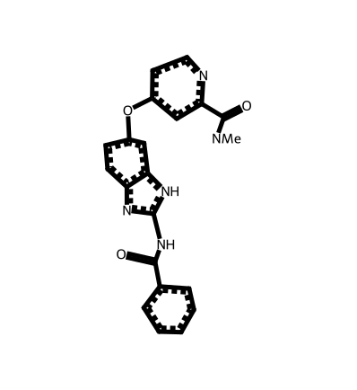 CNC(=O)c1cc(Oc2ccc3nc(NC(=O)c4ccccc4)[nH]c3c2)ccn1